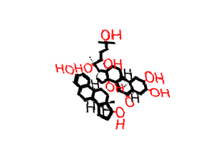 CC(C)(O)CC[C@@H](O)[C@](C)(O)[C@H]1CC[C@@]2(O)C3=CC(=O)[C@@H]4C[C@@H](O)[C@@H](O)C[C@]4(C)[C@H]3CC[C@]12C.C[C@]12CC[C@@H]3c4ccc(O)cc4CC[C@H]3[C@@H]1CC[C@@H]2O